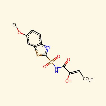 CCOc1ccc2nc(S(=O)(=O)NC(=O)C(O)=CC(=O)O)sc2c1